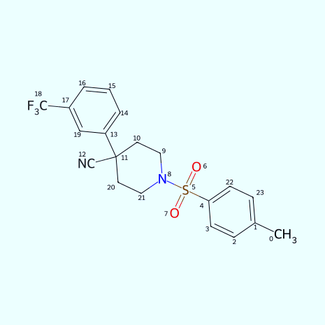 Cc1ccc(S(=O)(=O)N2CCC(C#N)(c3cccc(C(F)(F)F)c3)CC2)cc1